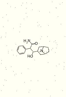 CN1C2CCC1CC(C(O)C(C(N)=O)c1ccccc1)C2